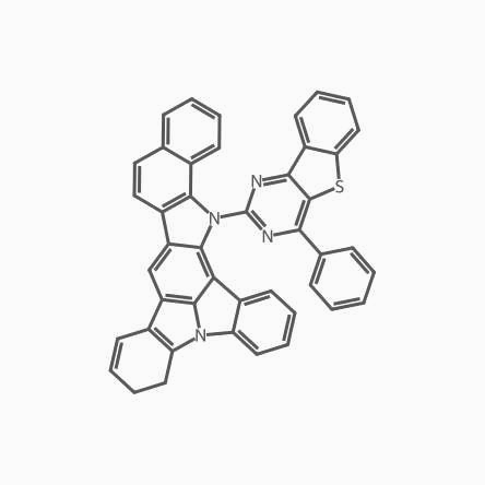 C1=Cc2c(n3c4ccccc4c4c5c(cc2c43)c2ccc3ccccc3c2n5-c2nc(-c3ccccc3)c3sc4ccccc4c3n2)CC1